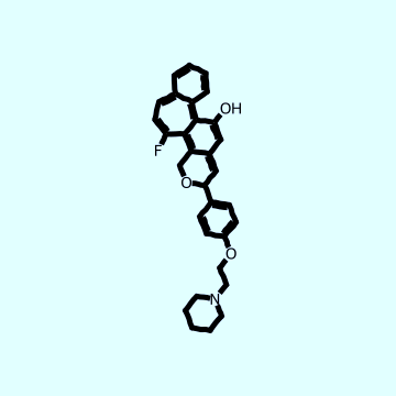 Oc1cc2c(c3c1=c1ccccc1=CC=C3F)COC(c1ccc(OCCN3CCCCC3)cc1)C=2